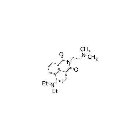 CCN(CC)c1ccc2c3c(cccc13)C(=O)N(CCN(C)C)C2=O